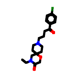 CCN1CC2(CCN(CCCC(=O)c3ccc(F)cc3)CC2)OCC1=O